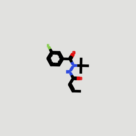 C/C=C\C(=O)NN(C(=O)c1cccc(F)c1)C(C)(C)C